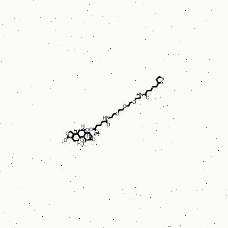 CC(C)[C@]12O[C@H]1C(C)[C@@]13O[C@@]14CCC1=C(COC1=O)[C@@H]4C[C@@H]1O[C@@]13[C@@H]2OC(=O)CCCC(=O)NCCOCCOCCOCCNC(=O)CCCCC1CCSS1